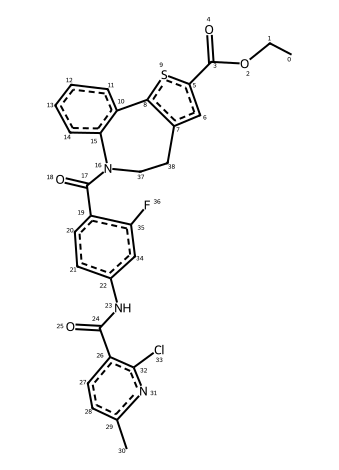 CCOC(=O)c1cc2c(s1)-c1ccccc1N(C(=O)c1ccc(NC(=O)c3ccc(C)nc3Cl)cc1F)CC2